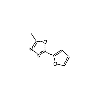 Cc1nnc(-c2ccco2)o1